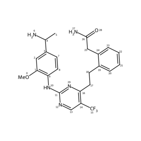 COc1cc(C(C)N)ccc1Nc1ncc(C(F)(F)F)c(CCc2ccccc2CC(N)=O)n1